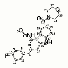 O=CNc1cc(Cc2ccc(F)cc2)cc2[nH]c3ccc(C(=O)N4CCOCC4)cc3c12